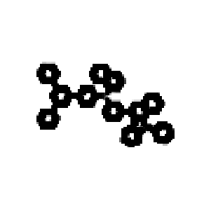 c1ccc(-c2cc(-c3ccccc3)cc(-c3ccc(N(c4cccc(-c5cc6ccccc6c6c5c5ccccc5n6-c5ccccc5)c4)c4cccc5ccccc45)cc3)c2)cc1